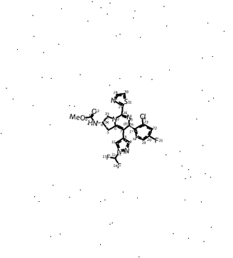 COC(=O)N[C@H]1CC2=C(c3cnn(C(F)F)c3)[C@H](c3ccc(F)cc3Cl)N=C(c3nccs3)N2C1